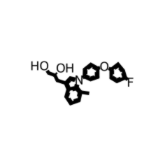 Cc1cccc2c(C[C@H](O)CO)cn(-c3ccc(Oc4ccc(F)cc4)cc3)c12